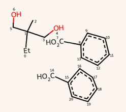 CCC(C)(CO)CO.O=C(O)c1ccccc1.O=C(O)c1ccccc1